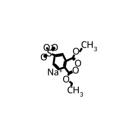 CCOC(=O)c1ccc(S(=O)(=O)[O-])cc1C(=O)OCC.[Na+]